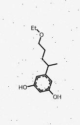 CCOCCCC(C)c1cc(O)cc(O)c1